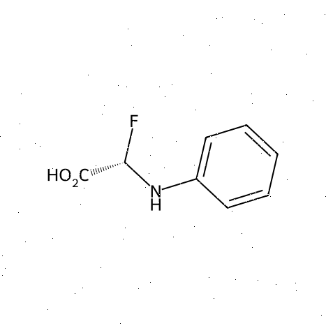 O=C(O)[C@H](F)Nc1ccccc1